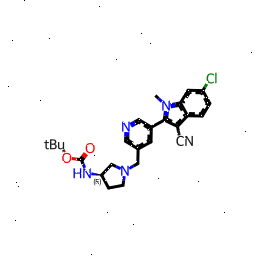 Cn1c(-c2cncc(CN3CC[C@@H](NC(=O)OC(C)(C)C)C3)c2)c(C#N)c2ccc(Cl)cc21